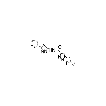 O=C(NCc1nnc(-c2ccccc2)s1)c1cn(CC2(F)CC2)nn1